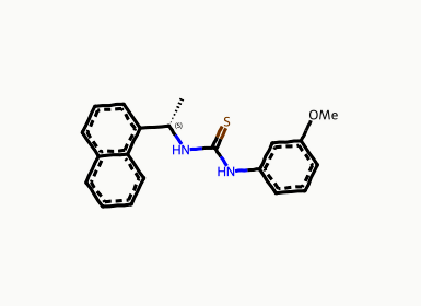 COc1cccc(NC(=S)N[C@@H](C)c2cccc3ccccc23)c1